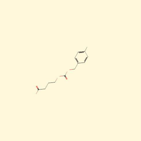 Cc1ccc(COC(=O)OCCCC(=O)O)cc1